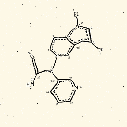 CCc1cn(CC)c2ccc(N(C(N)=O)c3cccnc3)cc12